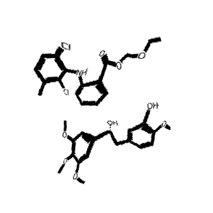 CCOCOC(=O)c1ccccc1Nc1c(Cl)ccc(C)c1Cl.COc1ccc(C[C@@H](O)c2cc(OC)c(OC)c(OC)c2)cc1O